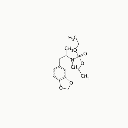 CCOP(=O)(OCC)N(C)C(C)Cc1ccc2c(c1)OCO2